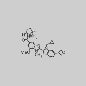 COc1cc(C(=O)N2C[C@H]3CC[C@@H]2[C@@H]3N)cc2nc(-c3cc4ccc(C5COC5)cc4n3CC3CC3)n(C)c12